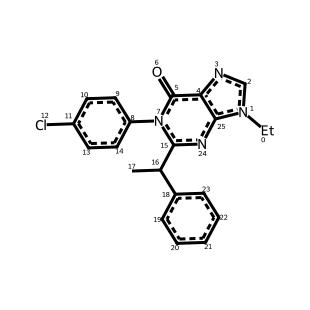 CCn1cnc2c(=O)n(-c3ccc(Cl)cc3)c(C(C)c3ccccc3)nc21